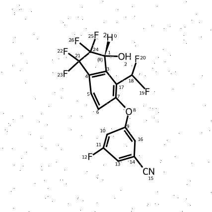 [2H][C@@]1(O)c2c(ccc(Oc3cc(F)cc(C#N)c3)c2C(F)F)C(F)(F)C1(F)F